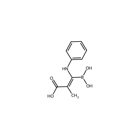 CC(C(=O)O)=C(Nc1ccccc1)B(O)O